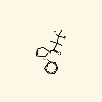 CC(F)(F)C(C)(C)C(=O)N1CC=C[C@H]1c1ccccc1